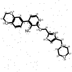 N#Cc1c(-c2ccc3c(c2)OCCO3)ccnc1OCc1nc(CN2CCOCC2)cs1